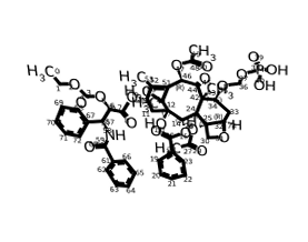 CCOC(=O)O[C@@H](C(=O)O[C@H]1C[C@@]2(O)[C@@H](OC(=O)c3ccccc3)[C@@H]3[C@]4(OC(C)=O)CO[C@@H]4C[C@H](OCOP(=O)(O)O)[C@@]3(C)C(=O)[C@H](OC(C)=O)C(=C1C)C2(C)C)[C@@H](NC(=O)c1ccccc1)c1ccccc1